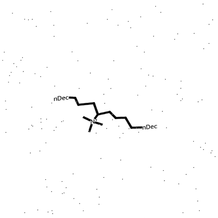 CCCCCCCCCCCCCCC(CCCCCCCCCCCCC)[N+](C)(C)C